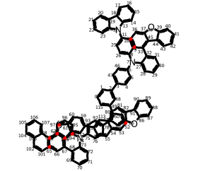 c1cc(-c2ccc(N(c3ccc(-n4c5ccccc5c5ccccc54)cc3)c3ccccc3-c3cccc4oc5ccccc5c34)cc2)cc(-c2cccc3ccc(-c4ccc5oc6cccc(-c7ccccc7N(c7ccc(-c8ccc9c(c8)oc8ccccc89)cc7)c7cccc(-c8cccc9ccccc89)c7)c6c5c4)cc23)c1